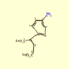 CCOC(=O)C(CC(=O)O)c1ccc(N)cc1